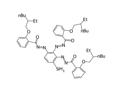 CCCCC(CC)COc1ccccc1C(=O)N=Nc1ccc([SiH3])c(N=NC(=O)c2ccccc2OCC(CC)CCCC)c1N=NC(=O)c1ccccc1OCC(CC)CCCC